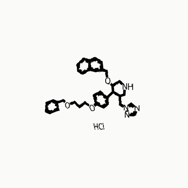 Cl.c1ccc(COCCCOc2ccc(C3C(Cn4cncn4)CNCC3OCc3ccc4ccccc4c3)cc2)cc1